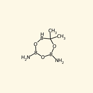 CC1(C)BOB(N)OB(N)O1